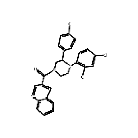 O=C(c1cnc2ccccc2c1)N1CCN(c2ccc(Cl)cc2Cl)C(c2ccc(Cl)cc2)C1